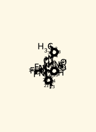 Cc1cccc(N2CCN(c3nc(C(F)(F)F)nc(-c4ccc(F)cc4)c3-c3cccc(N[SH](=O)=O)c3)CC2)c1